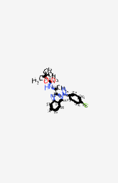 CC(NC(=O)OC(C)(C)C)[C@H]1N=c2ccccc2=CN1Nc1ccc(F)cc1